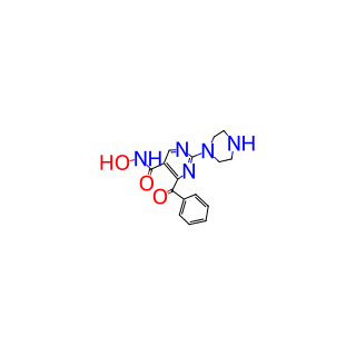 O=C(NO)c1cnc(N2CCNCC2)nc1C(=O)c1ccccc1